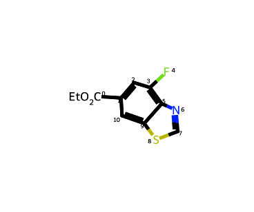 CCOC(=O)c1cc(F)c2ncsc2c1